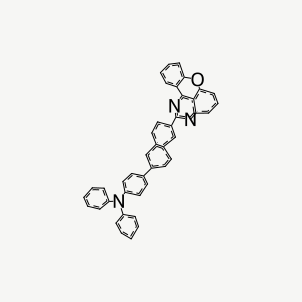 c1ccc(N(c2ccccc2)c2ccc(-c3ccc4cc(-c5nc6c7c(cccc7n5)Oc5ccccc5-6)ccc4c3)cc2)cc1